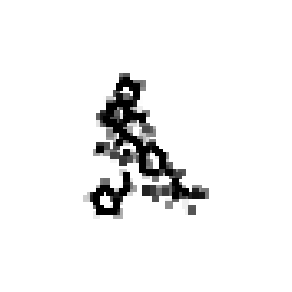 CC(=O)O[C@@H]1[C@@H]([C@@]2(C)CCC(O[Si](C)(C)C(C)(C)C)C[C@@H]2CCN2CCCC2)CC[C@@]2(C)[C@H]1CCC21OCCO1